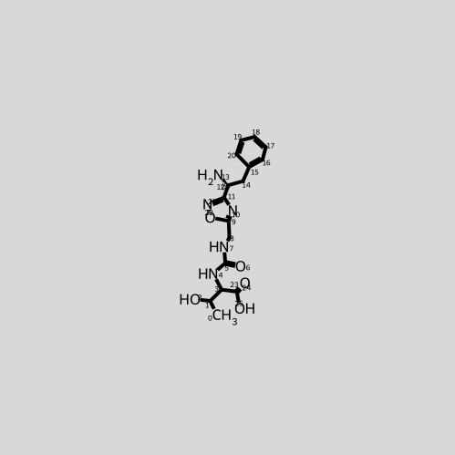 CC(O)C(NC(=O)NCc1nc([C@@H](N)Cc2ccccc2)no1)C(=O)O